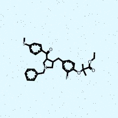 CCOC(=O)C(C)(C)Oc1ccc(CC2CN(Cc3ccccc3)CC2C(=O)c2ccc(SC)cc2)cc1F